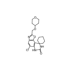 O=C1Nc2c(Cl)cc3nc(COC4CCOCC4)oc3c2C2(CCCCC2)N1